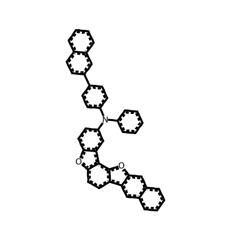 c1ccc(N(c2ccc(-c3ccc4ccccc4c3)cc2)c2ccc3oc4ccc5c6cc7ccccc7cc6oc5c4c3c2)cc1